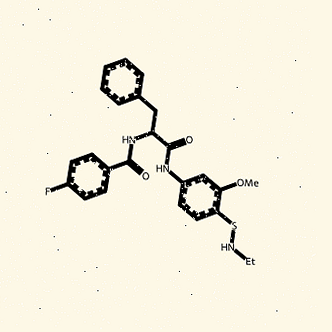 CCNSc1ccc(NC(=O)C(Cc2ccccc2)NC(=O)c2ccc(F)cc2)cc1OC